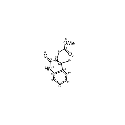 COC(=O)CN1C(=O)Nc2ccccc2C1C